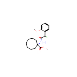 COC(=O)C1(NC(=O)C(Cl)c2ccccc2OC)CCCCCCC1